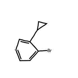 Brc1cc[c]cc1C1CC1